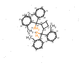 Cc1ccccc1C(P)(c1ccccc1C)C1CCC1C(P)(c1ccccc1C)c1ccccc1C